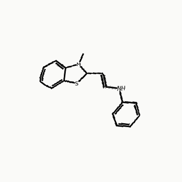 CN1c2ccccc2SC1C=CNc1ccccc1